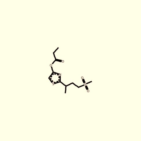 CCC(=O)Oc1csc(C(C)CCS(C)(=O)=O)n1